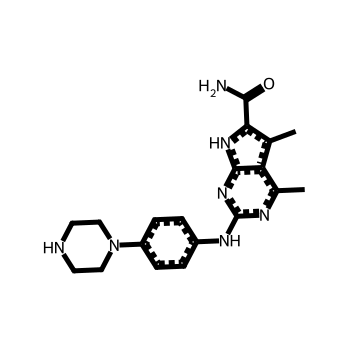 Cc1nc(Nc2ccc(N3CCNCC3)cc2)nc2[nH]c(C(N)=O)c(C)c12